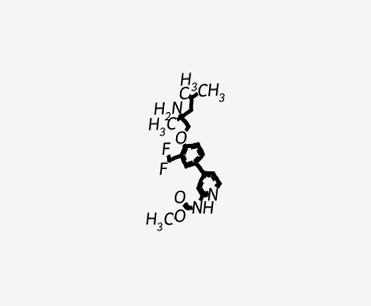 COC(=O)Nc1cc(-c2ccc(OCC(C)(N)CC(C)C)c(C(F)F)c2)ccn1